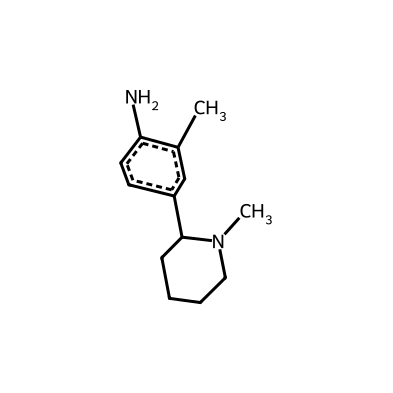 Cc1cc(C2CCCCN2C)ccc1N